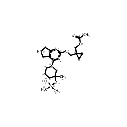 CC(=O)OCC1(COc2nc3c(c(N4CCCC(C)(O[Si](C)(C)C)C4)n2)CNC3)CC1